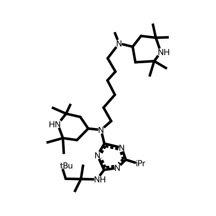 CC(C)c1nc(NC(C)(C)CC(C)(C)C)nc(N(CCCCCCN(C)C2CC(C)(C)NC(C)(C)C2)C2CC(C)(C)NC(C)(C)C2)n1